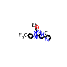 CCOCc1nc(Nc2ccc(C(F)(F)F)cc2)c2ccc(-c3ncccc3C(F)(F)F)nc2n1